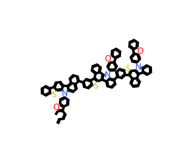 C=C/C=C\c1c(C)oc2cc(-n3c4ccc5c(-c6ccc7sc8c(c7c6)c6ccccc6c6c8c7cccc(-c8ccc9sc%10c(c9c8)c8ccccc8c8c9ccccc9n(-c9ccc%11c(c9)oc9ccccc9%11)c%108)c7n6-c6ccc7c(c6)oc6ccccc67)cccc5c4c4ccc5c6ccccc6sc5c43)ccc12